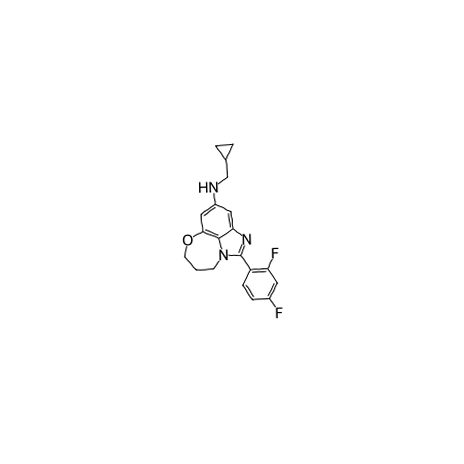 Fc1ccc(-c2nc3cc(NCC4CC4)cc4c3n2CCCO4)c(F)c1